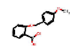 COc1ccc(COc2ccccc2B(O)O)cc1